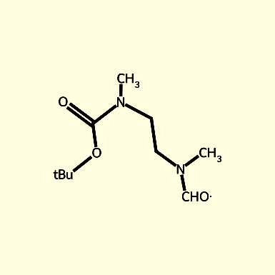 CN([C]=O)CCN(C)C(=O)OC(C)(C)C